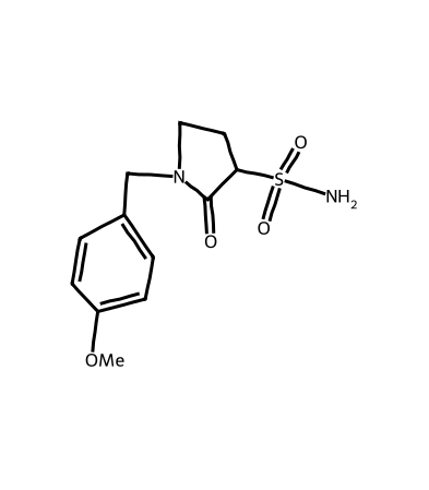 COc1ccc(CN2CCC(S(N)(=O)=O)C2=O)cc1